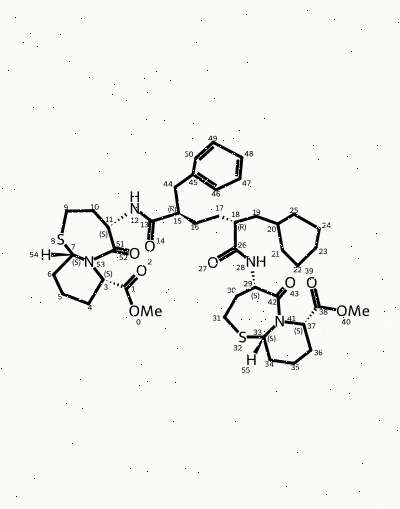 COC(=O)[C@@H]1CCC[C@@H]2SCC[C@H](NC(=O)[C@H](CC[C@H](CC3CCCCC3)C(=O)N[C@H]3CCS[C@H]4CCC[C@@H](C(=O)OC)N4C3=O)Cc3ccccc3)C(=O)N21